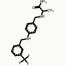 CC(NCc1ccc(NCc2cccc(C(F)(F)F)c2)cc1)C(N)=O